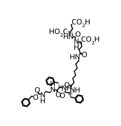 O=C(O)CC[C@H](NC(=O)N[C@@H](CCC(=O)NCCCCCCCC(=O)N[C@@H](Cc1ccccc1)C(=O)N[C@@H](Cc1ccccc1)C(=O)NCCNC(=O)OCc1ccccc1)C(=O)O)C(=O)O